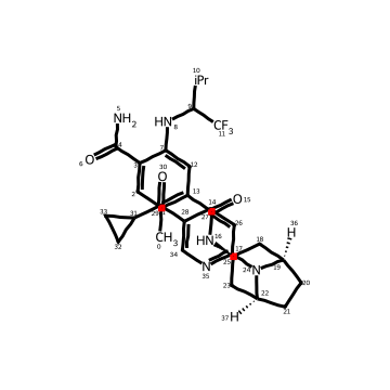 Cc1cc(C(N)=O)c(NC(C(C)C)C(F)(F)F)cc1C(=O)N[C@H]1C[C@H]2CC[C@@H](C1)N2c1ccc(C(=O)C2CC2)cn1